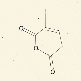 CC1=CCC(=O)OC1=O